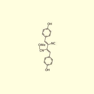 COC.[C-]#[N+]C(=C\c1ccc(O)cc1)/C(=C/c1ccc(O)cc1)[N+]#[C-]